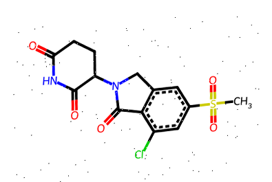 CS(=O)(=O)c1cc(Cl)c2c(c1)CN(C1CCC(=O)NC1=O)C2=O